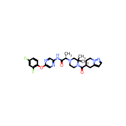 C[C@@H](C(=O)Nc1cnc(Oc2ccc(F)cc2F)cn1)N1CCN(C(=O)C2CCn3nccc3C2)C(C)(C)C1